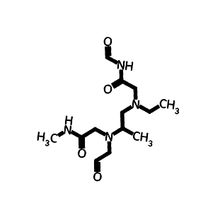 CCN(CC(=O)NC=O)CC(C)N(CC=O)CC(=O)NC